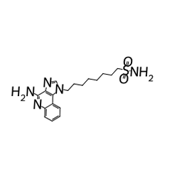 Nc1nc2ccccc2c2c1ncn2CCCCCCCCS(N)(=O)=O